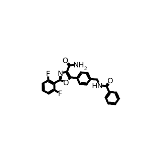 NC(=O)c1nc(-c2c(F)cccc2F)oc1-c1ccc(CNC(=O)c2ccccc2)cc1